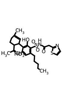 C=C(C)C1CCC(C)=CC1c1c(O)cc(CCCCC)c(S(=O)(=O)NC(=O)Cc2nccs2)c1O